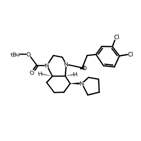 CC(C)(C)OC(=O)N1CCN(C(=O)Cc2ccc(Cl)c(Cl)c2)[C@@H]2[C@H]1CCC[C@@H]2N1CCCC1